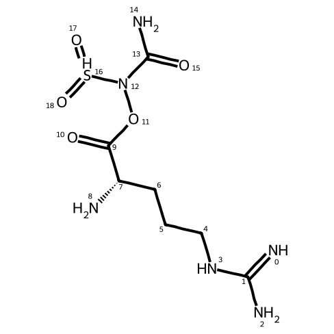 N=C(N)NCCC[C@H](N)C(=O)ON(C(N)=O)[SH](=O)=O